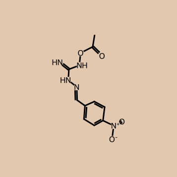 CC(=O)ONC(=N)NN=Cc1ccc([N+](=O)[O-])cc1